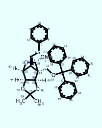 CO[C@H]1O[C@H]2/C(=C/Sc3ccccc3)[C@]1(COC(c1ccccc1)(c1ccccc1)c1ccccc1)[C@H]1OC(C)(C)O[C@@H]21